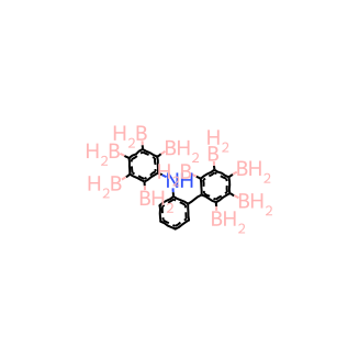 Bc1c(B)c(B)c(Nc2ccccc2-c2c(B)c(B)c(B)c(B)c2B)c(B)c1B